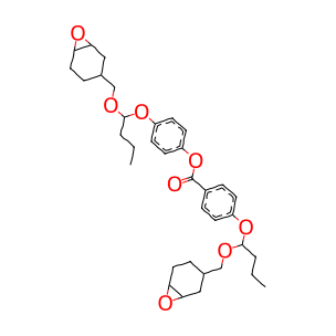 CCCC(OCC1CCC2OC2C1)Oc1ccc(OC(=O)c2ccc(OC(CCC)OCC3CCC4OC4C3)cc2)cc1